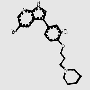 Brc1cnc2[nH]cc(-c3ccc(OCCCN4CCCCC4)cc3)c2c1.Cl